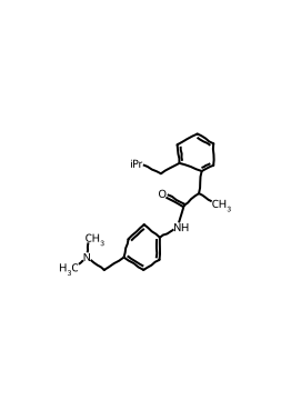 CC(C)Cc1ccccc1C(C)C(=O)Nc1ccc(CN(C)C)cc1